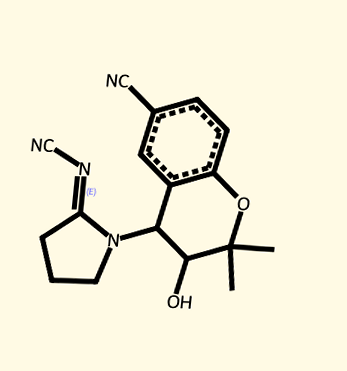 CC1(C)Oc2ccc(C#N)cc2C(N2CCC/C2=N\C#N)C1O